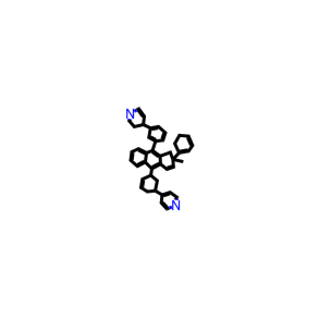 CC1(C2=CC=CCC2)C=Cc2c(c(-c3cccc(C4C=CN=CC4)c3)c3ccccc3c2C2C=CCC(c3ccncc3)C2)C1